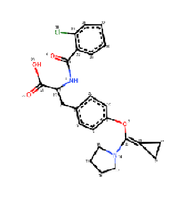 O=C(N[C@@H](Cc1ccc(OC(=C2CC2)N2CCCC2)cc1)C(=O)O)c1ccccc1Cl